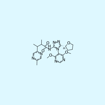 COc1ncnc(OC)c1-n1c(NS(=O)(=O)C(C)C(C)c2cnc(C)cn2)nnc1[C@H]1CCCO1